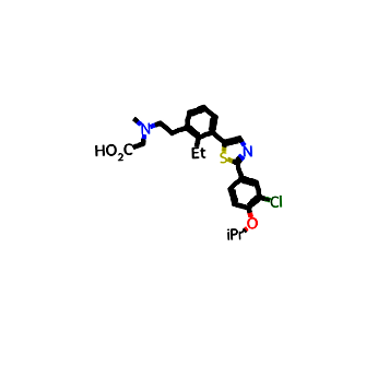 CCc1c(CCN(C)CC(=O)O)cccc1-c1cnc(-c2ccc(OC(C)C)c(Cl)c2)s1